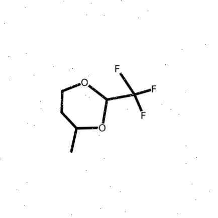 CC1CCOC(C(F)(F)F)O1